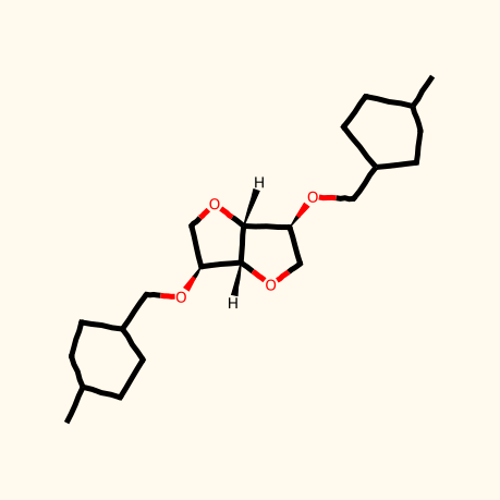 CC1CCC(CO[C@H]2CO[C@H]3[C@@H]2OC[C@@H]3OCC2CCC(C)CC2)CC1